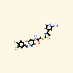 Nc1cc(-c2csc(SCC(=O)NC3CCN(Cc4ccc(Cl)c(Cl)c4)CC3)n2)ccn1